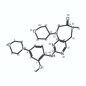 COc1cc(N2CCOCC2)ccc1Nc1ncc2c(n1)N(C1CCOCC1)CC(=O)N(C)C2